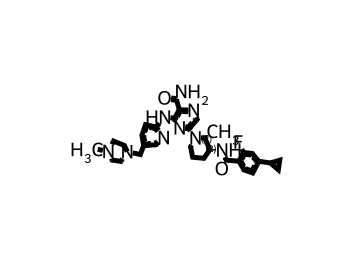 C[C@@H]1[C@H](NC(=O)c2ccc(C3CC3)cc2F)CCCN1c1cnc(C(N)=O)c(Nc2ccc(CN3CCN(C)CC3)cn2)n1